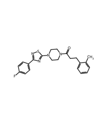 Cc1ccccc1CCC(=O)N1CCN(c2nc(-c3ccc(F)cc3)ns2)CC1